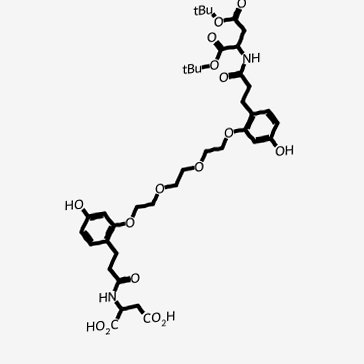 CC(C)(C)OC(=O)CC(NC(=O)CCc1ccc(O)cc1OCCOCCOCCOc1cc(O)ccc1CCC(=O)NC(CC(=O)O)C(=O)O)C(=O)OC(C)(C)C